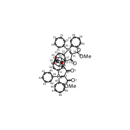 COC(=O)C(C(=O)C1C2C=CC(C2)C1C(=O)C(C(=O)OC)=P(c1ccccc1)(c1ccccc1)c1ccccc1)=P(c1ccccc1)(c1ccccc1)c1ccccc1